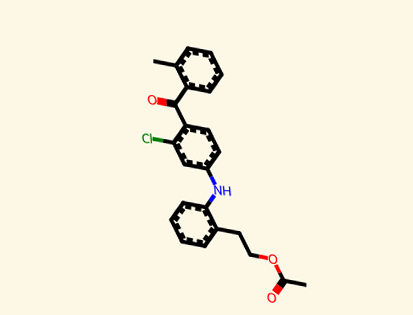 CC(=O)OCCc1ccccc1Nc1ccc(C(=O)c2ccccc2C)c(Cl)c1